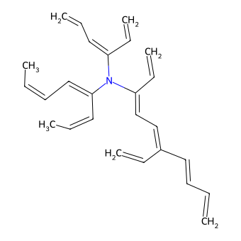 C=C/C=C/C(C=C)=C/C=C(\C=C)N(/C(C=C)=C/C=C)C(/C=C\C)=C/C=C\C